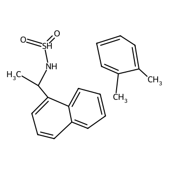 CC(N[SH](=O)=O)c1cccc2ccccc12.Cc1ccccc1C